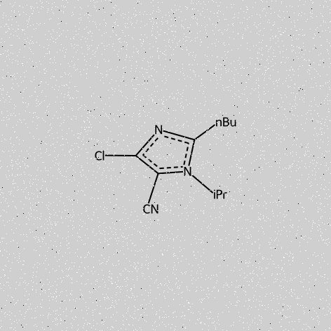 CCCCc1nc(Cl)c(C#N)n1C(C)C